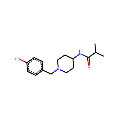 CC(C)C(=O)NC1CCN(Cc2ccc(O)cc2)CC1